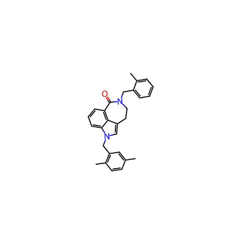 Cc1ccc(C)c(Cn2cc3c4c(cccc42)C(=O)N(Cc2ccccc2C)CC3)c1